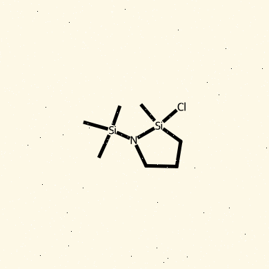 C[Si](C)(C)N1CCC[Si]1(C)Cl